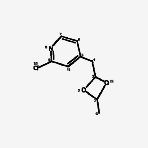 CC1OC(Cc2ccnc(Cl)c2)O1